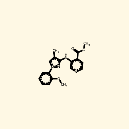 COC(=O)c1ccncc1Nc1nn(-c2ccccc2OC)cc1C